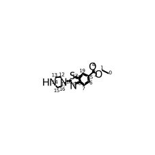 CCOC(=O)c1ccc2nc(N3CCNCC3)sc2c1